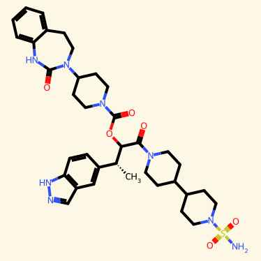 C[C@H](c1ccc2[nH]ncc2c1)C(OC(=O)N1CCC(N2CCc3ccccc3NC2=O)CC1)C(=O)N1CCC(C2CCN(S(N)(=O)=O)CC2)CC1